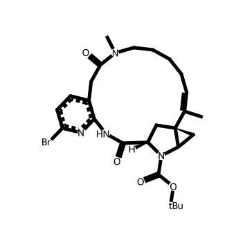 CC1=CCCCCN(C)C(=O)Cc2ccc(Br)nc2NC(=O)[C@@H]2C[C@]13CC3N2C(=O)OC(C)(C)C